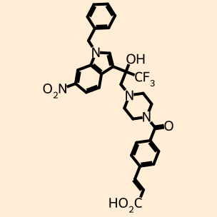 O=C(O)/C=C/c1ccc(C(=O)N2CCN(CC(O)(c3cn(Cc4ccccc4)c4cc([N+](=O)[O-])ccc34)C(F)(F)F)CC2)cc1